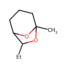 CCC1OC2(C)CCCC1O2